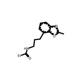 CCC(=O)NCCCc1cccc2nc(C)oc12